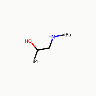 CC(C)C(O)CNC(C)(C)C